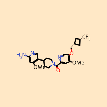 COc1cc(C(=O)N2CCC(c3cnc(N)cc3OC)CC2)ncc1OC[C@H]1C[C@@H](C(F)(F)F)C1